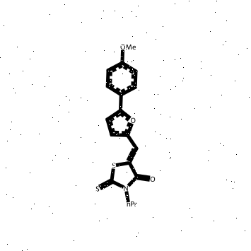 CCCN1C(=O)/C(=C/c2ccc(-c3ccc(OC)cc3)o2)SC1=S